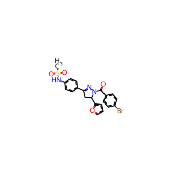 CS(=O)(=O)Nc1ccc(C2=NN(C(=O)c3ccc(Br)cc3)C(c3ccco3)C2)cc1